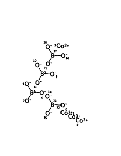 [Co+3].[Co+3].[Co+3].[Co+3].[O-]B([O-])[O-].[O-]B([O-])[O-].[O-]B([O-])[O-].[O-]B([O-])[O-]